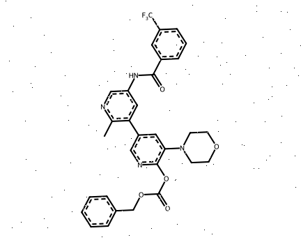 Cc1ncc(NC(=O)c2cccc(C(F)(F)F)c2)cc1-c1cnc(OC(=O)OCc2ccccc2)c(N2CCOCC2)c1